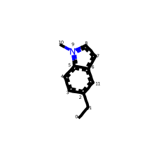 C[CH]c1ccc2c(ccn2C)c1